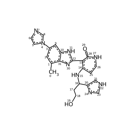 Cc1cc(-n2ccnc2)cc2[nH]c(-c3c(NC(CCO)c4c[nH]cn4)cc[nH]c3=O)nc12